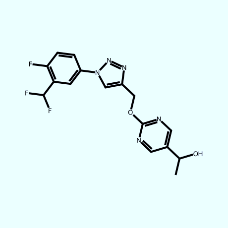 CC(O)c1cnc(OCc2cn(-c3ccc(F)c(C(F)F)c3)nn2)nc1